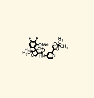 COc1c(C2(C)C(C(=O)Nc3ccnc(C4COC(C)(C)O4)c3)COC2(C)C)ccc(F)c1F